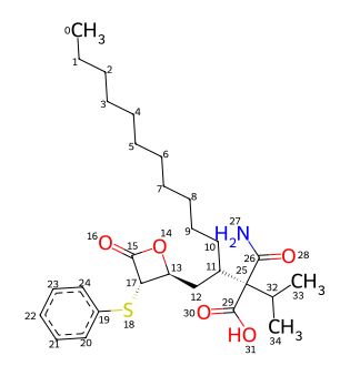 CCCCCCCCCCCC(C[C@@H]1OC(=O)[C@H]1Sc1ccccc1)[C@@](C(N)=O)(C(=O)O)C(C)C